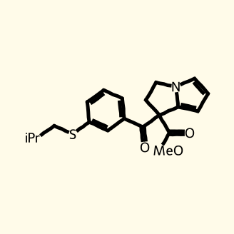 COC(=O)C1(C(=O)c2cccc(SCC(C)C)c2)CCn2cccc21